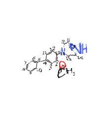 COc1cc(-c2ccccc2)ccc1N1CCNCC1